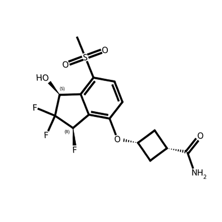 CS(=O)(=O)c1ccc(O[C@H]2C[C@@H](C(N)=O)C2)c2c1[C@H](O)C(F)(F)[C@@H]2F